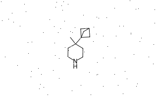 CC1(C23CC(C2)C3)CCNCC1